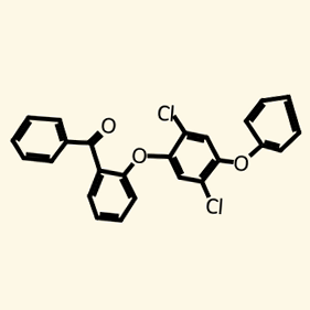 O=C(c1ccccc1)c1ccccc1Oc1cc(Cl)c(Oc2ccccc2)cc1Cl